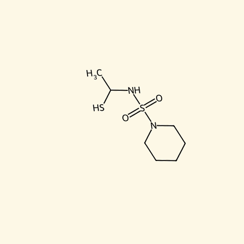 CC(S)NS(=O)(=O)N1CCCCC1